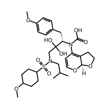 COc1ccc(C[C@H](N(C(=O)O)C2=C3CCO[C@H]3OC=C2)C(O)(O)CN(CC(C)C)S(=O)(=O)C2CCC(OC)CC2)cc1